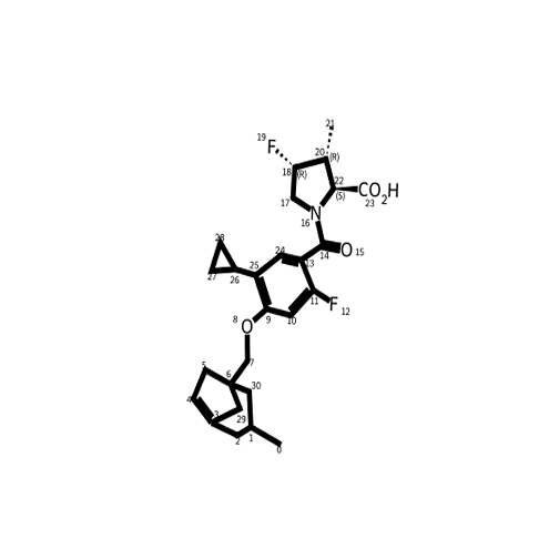 CC1CC2=CCC(COc3cc(F)c(C(=O)N4C[C@H](F)[C@H](C)[C@H]4C(=O)O)cc3C3CC3)(C2)C1